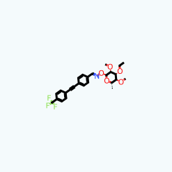 CCO[C@@H]1[C@@H](OC)[C@H](C)O[C@@H](ON=Cc2ccc(C#Cc3ccc(C(F)(F)F)cc3)cc2)[C@@H]1OC